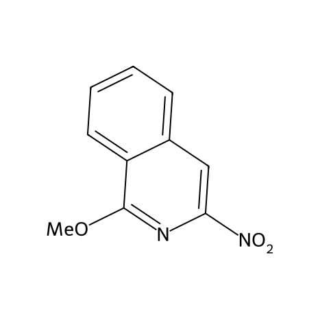 COc1nc([N+](=O)[O-])cc2ccccc12